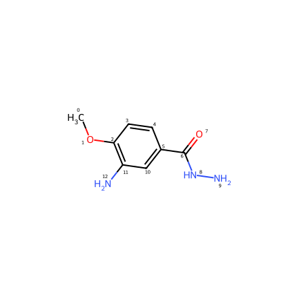 COc1ccc(C(=O)NN)cc1N